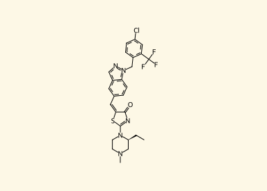 CC[C@H]1CN(C)CCN1C1=NC(=O)/C(=C\c2ccc3c(cnn3Cc3ccc(Cl)cc3C(F)(F)F)c2)S1